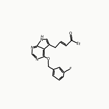 CCC(=O)/C=C/Cc1c[nH]c2ncnc(OCc3cccc(F)c3)c12